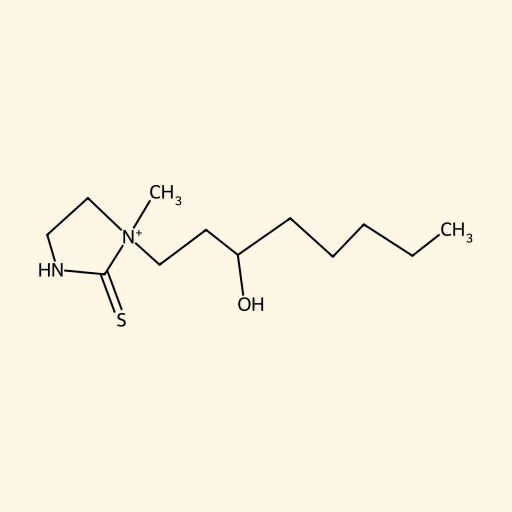 CCCCCC(O)CC[N+]1(C)CCNC1=S